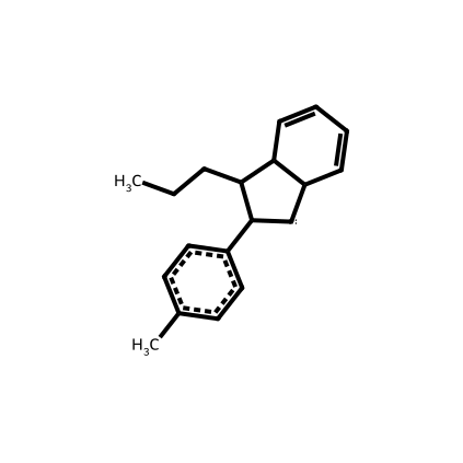 CCCC1C(c2ccc(C)cc2)[C]C2C=CC=CC21